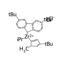 CC1C=C(C(C)(C)C)C=[C]1[Zr+2]([CH](C)C)[CH]1c2ccc(C(C)(C)C)cc2-c2cc(C(C)(C)C)ccc21.[Cl-].[Cl-]